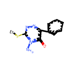 CCSc1nnc(-c2ccccc2)c(=O)n1N